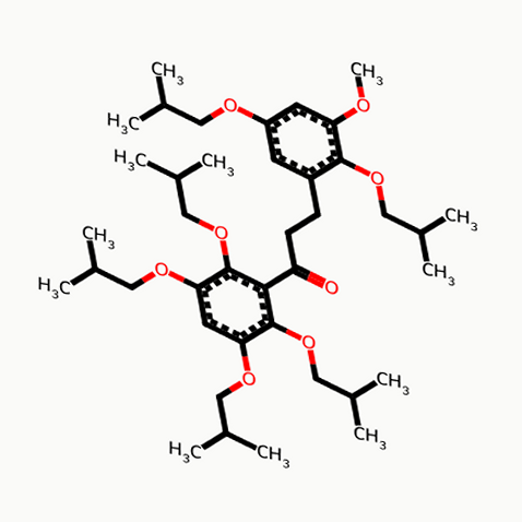 COc1cc(OCC(C)C)cc(CCC(=O)c2c(OCC(C)C)c(OCC(C)C)cc(OCC(C)C)c2OCC(C)C)c1OCC(C)C